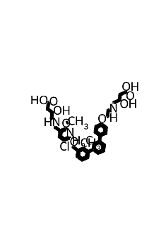 COc1nc(OCc2cccc(-c3cccc(-c4ccc(OCCNC[C@H](O)CC(=O)O)cc4)c3C)c2C)c(Cl)cc1CNC[C@H](O)CC(=O)O